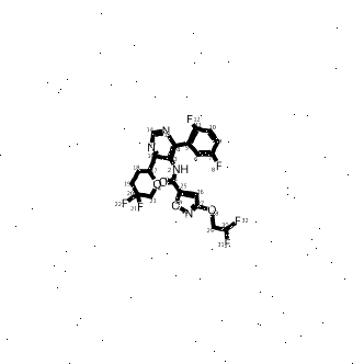 O=C(Nc1c(-c2cc(F)ccc2F)ncnc1C1CCC(F)(F)CO1)c1cc(OCC(F)F)no1